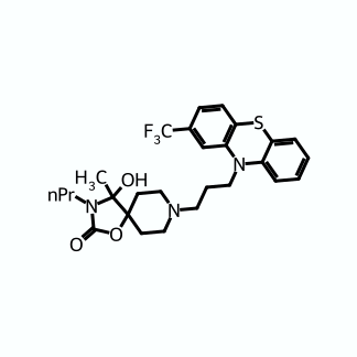 CCCN1C(=O)OC2(CCN(CCCN3c4ccccc4Sc4ccc(C(F)(F)F)cc43)CC2)C1(C)O